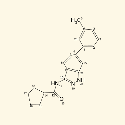 Cc1cccc(-c2ccc3c(NC(=O)C4CCCC4)n[nH]c3c2)c1